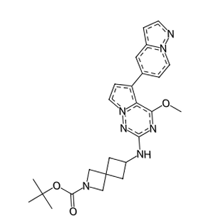 COc1nc(NC2CC3(C2)CN(C(=O)OC(C)(C)C)C3)nn2ccc(-c3ccn4nccc4c3)c12